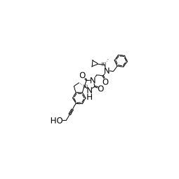 C[C@@H](C1CC1)N(Cc1ccccc1)C(=O)CN1C(=O)N[C@]2(CCc3cc(C#CCO)ccc32)C1=O